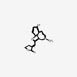 CN1CCc2c(Cl)ccc3oc(/C=C4\CCOC4=O)c(c23)C1